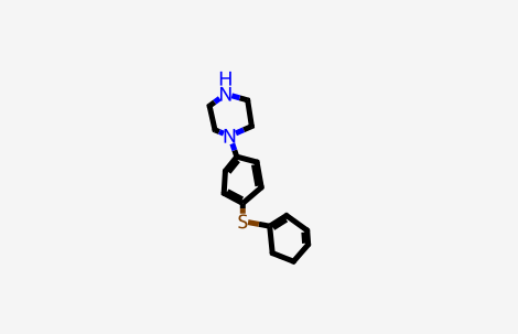 C1=CCCC(Sc2ccc(N3CCNCC3)cc2)=C1